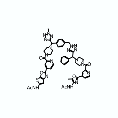 CC(=O)Nc1cc2nc(-c3ccnc(C(=O)N4CCN(C(c5ccc(Cn6nnc(C(c7ccccc7)N7CCN(C(=O)c8cc(-c9nc(NC(C)=O)c(C)o9)ccn8)CC7)n6)cc5)c5nnn(C)n5)CC4)c3)oc2s1